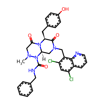 CN1CC(=O)N2[C@@H](CN(Cc3c(Cl)cc(Cl)c4cccnc34)C(=O)[C@@H]2Cc2ccc(O)cc2)N1C(=O)NCc1ccccc1